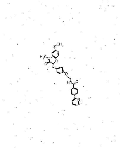 COC(=O)C(Cc1ccc(OCCNC(=O)c2ccc(-c3ccccn3)cc2)cc1)Oc1ccc(SC)cc1